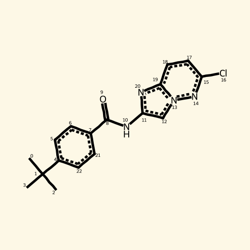 CC(C)(C)c1ccc(C(=O)Nc2cn3nc(Cl)ccc3n2)cc1